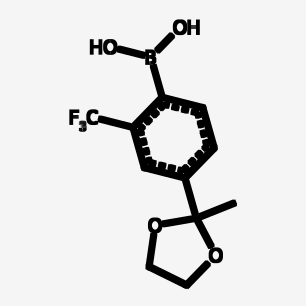 CC1(c2ccc(B(O)O)c(C(F)(F)F)c2)OCCO1